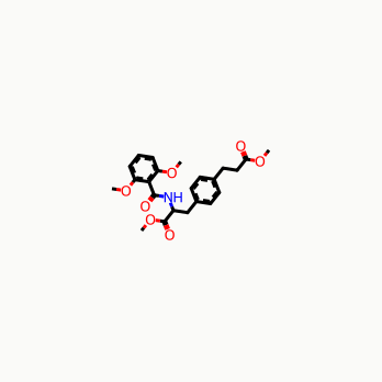 COC(=O)CCc1ccc(CC(NC(=O)c2c(OC)cccc2OC)C(=O)OC)cc1